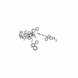 COC(=O)CCCC=CC[C@H]1C(=O)C=C[C@@H]1C=CC(CCc1sc2ccccc2c1Cl)O[Si](C)(C)C(C)(C)C